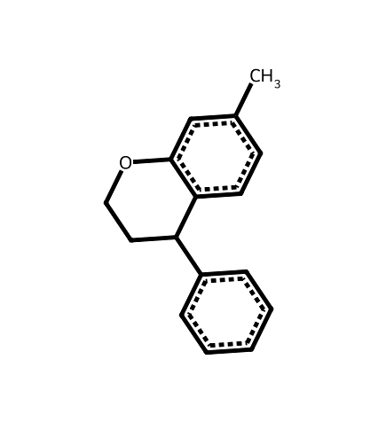 Cc1ccc2c(c1)OCCC2c1ccccc1